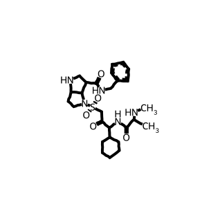 CNC(C)C(=O)NC(C(=O)CS(=O)(=O)N1CCC2NCC(C(=O)NCc3ccccc3)C21)C1CCCCC1